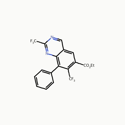 CCOC(=O)c1cc2cnc(C(F)(F)F)nc2c(-c2ccccc2)c1C(F)(F)F